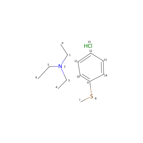 CCN(CC)CC.CSc1ccccc1.Cl